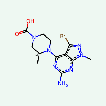 C[C@H]1CN(C(=O)O)CCN1c1nc(N)nc2c1c(Br)nn2C